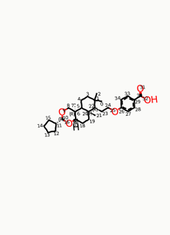 CC1(C)CCC2[C@]3(C)CO[C@@H](C4CCCC4)O[C@@H]3CC[C@@]2(C)[C@@H]1CCOc1ccc(C(=O)O)cc1